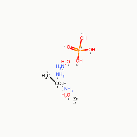 CC(=O)O.N.N.N.O.O.O=P(O)(O)O.[Zn]